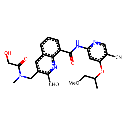 COCC(C)Oc1cc(NC(=O)c2cccc3cc(CN(C)C(=O)CO)c(C=O)nc23)ncc1C#N